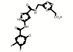 O=C(O)Cc1nnc(CNC(=O)c2cc(NC(=O)c3cc(F)c(F)cc3Cl)[nH]n2)o1